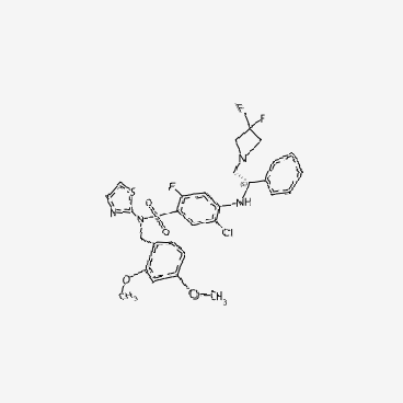 COc1ccc(CN(c2nccs2)S(=O)(=O)c2cc(Cl)c(N[C@H](CN3CC(F)(F)C3)c3ccccc3)cc2F)c(OC)c1